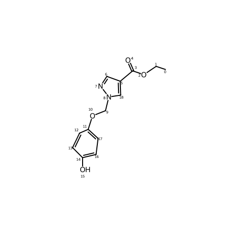 CCOC(=O)c1cnn(COc2ccc(O)cc2)c1